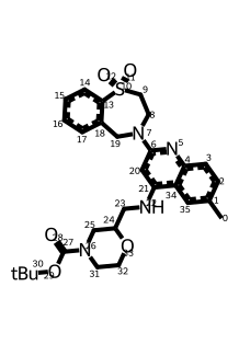 Cc1ccc2nc(N3CCS(=O)(=O)c4ccccc4C3)cc(NCC3CN(C(=O)OC(C)(C)C)CCO3)c2c1